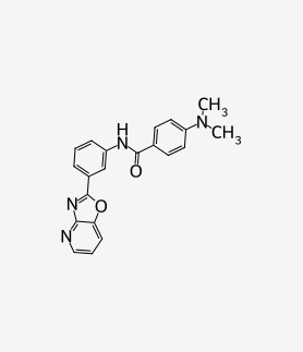 CN(C)c1ccc(C(=O)Nc2cccc(-c3nc4ncccc4o3)c2)cc1